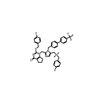 C[N+](C)(Cc1ccc(F)cc1)Cc1cnc(Cn2c(SCc3ccc(F)cc3)nc(=O)c3c2CCC3)n1Cc1ccc(-c2ccc(C(F)(F)F)cc2)cc1